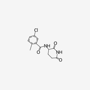 Cc1ccc(Cl)cc1C(=O)NC1CCC(=O)NC1=O